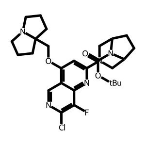 CC(C)(C)OC(=O)N1C2CCC1CN(c1cc(OCC34CCCN3CCC4)c3cnc(Cl)c(F)c3n1)C2